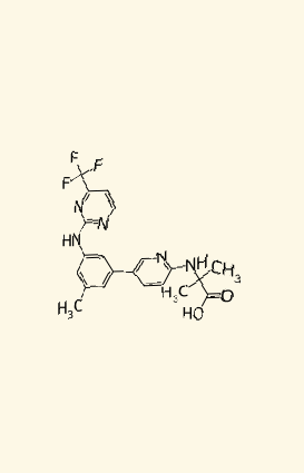 Cc1cc(Nc2nccc(C(F)(F)F)n2)cc(-c2ccc(NC(C)(C)C(=O)O)nc2)c1